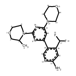 CC1COCCN1c1nc(-c2cnc(N)cc2C(F)F)cc(N2CCOCC2)n1